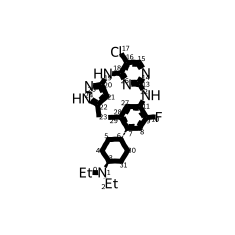 CCN(CC)[C@H]1CC[C@H](c2cc(F)c(Nc3ncc(Cl)c(Nc4cc(C)[nH]n4)n3)cc2C)CC1